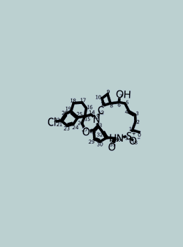 CC1C/C=C/CC(O)C2CCC2CN2CC3(CCCc4cc(Cl)ccc43)COc3ccc(cc32)C(=O)N[S+]1[O-]